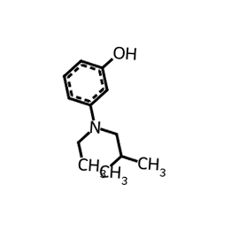 CCN(CC(C)C)c1cccc(O)c1